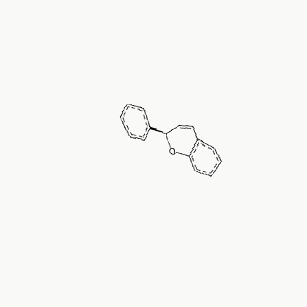 C1=C[C@H](c2ccccc2)Oc2ccccc21